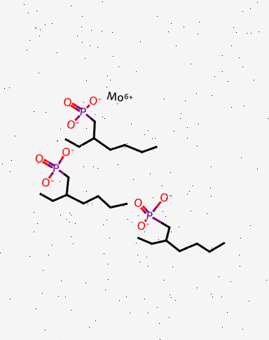 CCCCC(CC)CP(=O)([O-])[O-].CCCCC(CC)CP(=O)([O-])[O-].CCCCC(CC)CP(=O)([O-])[O-].[Mo+6]